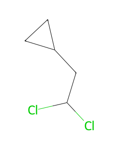 ClC(Cl)CC1CC1